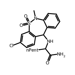 CCCCCC(NC1c2ccccc2N(C)S(=O)(=O)c2cc(Cl)ccc21)C(N)=O